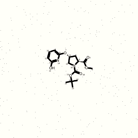 COC(=O)[C@@H]1C[C@@H](Oc2cccc(O)n2)CN1C(=O)OC(C)(C)C